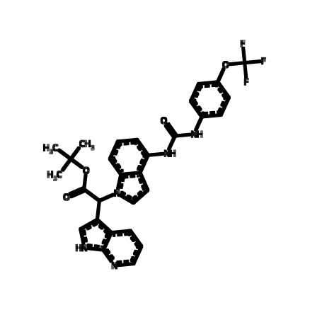 CC(C)(C)OC(=O)C(c1c[nH]c2ncccc12)n1ccc2c(NC(=O)Nc3ccc(OC(F)(F)F)cc3)cccc21